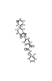 Cc1ccccc1OCC(=O)Nc1ccc(-c2nc3cc(-c4cccnc4)ccc3o2)cc1